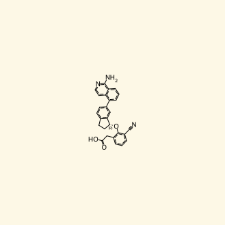 N#Cc1cccc(CC(=O)O)c1O[C@@H]1CCc2ccc(-c3cccc4c(N)nccc34)cc21